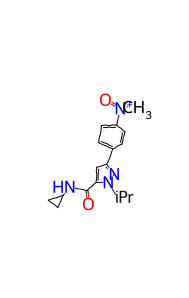 CC(C)n1nc(-c2ccc([N+](C)=O)cc2)cc1C(=O)NC1CC1